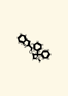 CN1CC(OCc2cc3ccccc3s2)C1(c1ccccc1)c1ccccc1